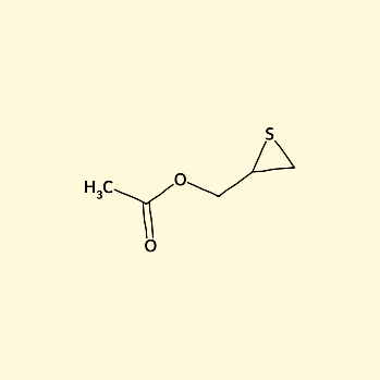 CC(=O)OCC1CS1